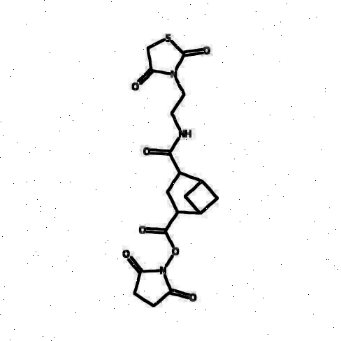 O=C(NCCN1C(=O)CSC1=O)C1CC(C(=O)ON2C(=O)CCC2=O)C2CC1C2